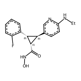 CCNc1ccc([C@H]2[C@H](C(=O)NO)[C@@H]2c2ccccc2F)cn1